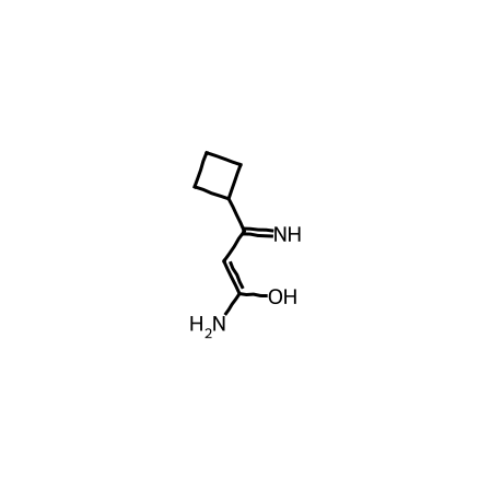 N=C(/C=C(/N)O)C1CCC1